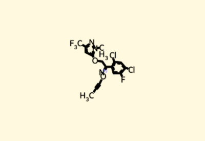 CC#CO/N=C(/COc1cc(C(F)(F)F)nn1C)c1cc(F)c(Cl)cc1Cl